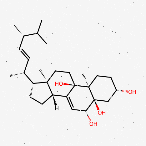 CC(C)[C@@H](C)/C=C/[C@@H](C)[C@H]1CC[C@H]2C3=C[C@@H](O)[C@@]4(O)C[C@@H](O)CC[C@]4(C)[C@@]3(O)CC[C@]12C